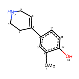 COc1cc(C2=CCNCC2)ccc1O